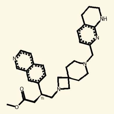 COC(=O)C[C@H](CN1CC2(CCN(Cc3ccc4c(n3)NCCC4)CC2)C1)c1ccc2ccncc2c1